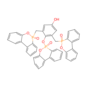 O=P1(Cc2cc(O)cc(CP3(=O)Oc4ccccc4-c4ccccc43)c2OP2(=O)Oc3ccccc3-c3ccccc32)Oc2ccccc2-c2ccccc21